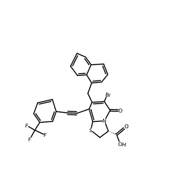 O=C(O)[C@@H]1CSc2c(C#Cc3cccc(C(F)(F)F)c3)c(Cc3cccc4ccccc34)c(Br)c(=O)n21